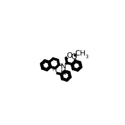 COc1ccccc1C(C=O)N[C@H]1CCc2ccccc2[C@H]1Cc1ccccc1